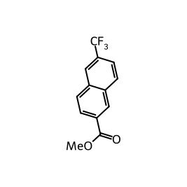 COC(=O)c1ccc2cc(C(F)(F)F)ccc2c1